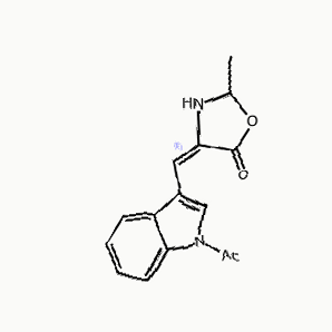 CC(=O)n1cc(/C=C2/NC(C)OC2=O)c2ccccc21